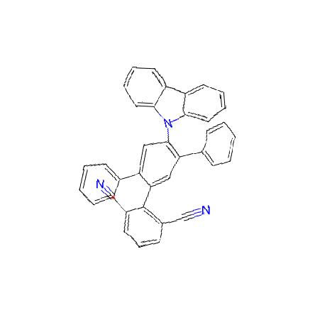 N#Cc1cccc(C#N)c1-c1cc(-c2ccccc2)c(-n2c3ccccc3c3ccccc32)cc1-c1ccccc1